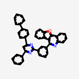 c1ccc(-c2ccc(-c3cc(-c4ccccc4)nc(-c4cccc(-c5nc6ccccc6c6oc7ccccc7c56)c4)n3)cc2)cc1